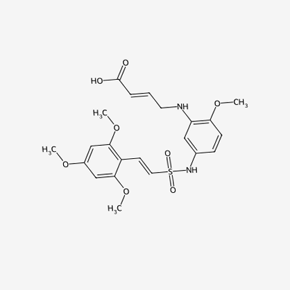 COc1cc(OC)c(C=CS(=O)(=O)Nc2ccc(OC)c(NCC=CC(=O)O)c2)c(OC)c1